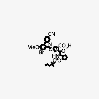 C=CCC(C)(C)COC(=O)N[C@H](C(=O)N1C[C@H](Oc2nc3cc(C#N)ccc3c3cc(OC)c(Br)cc23)C[C@H]1C(=O)O)C1CCCC1